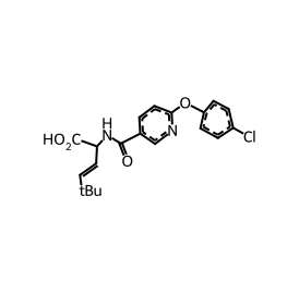 CC(C)(C)/C=C/C(NC(=O)c1ccc(Oc2ccc(Cl)cc2)nc1)C(=O)O